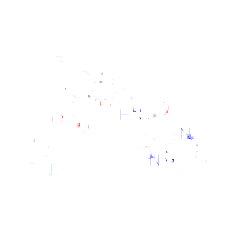 O=C(OC1CC(F)(F)C1)c1cc(F)cc2cc(CNC(=O)c3cnn4cccnc34)oc12